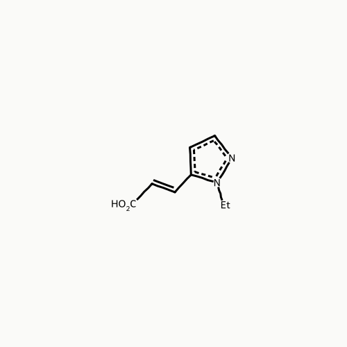 CCn1nccc1/C=C/C(=O)O